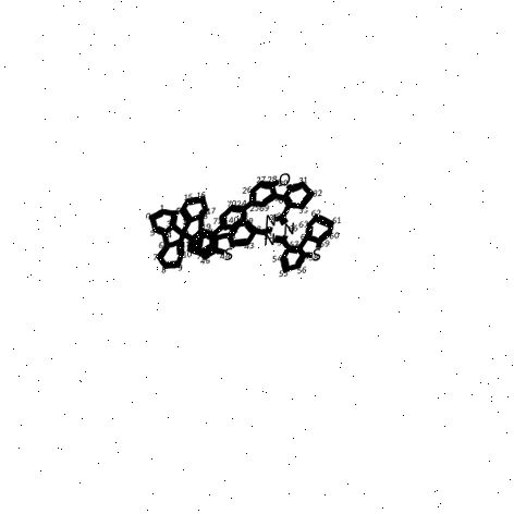 c1ccc2c(c1)-c1ccccc1C21c2ccccc2-c2c(-c3ccc(-c4ccc5oc6cccc(-c7nc(-c8ccc9c(c8)sc8ccccc89)nc(-c8cccc9sc%10ccccc%10c89)n7)c6c5c4)cc3)cccc21